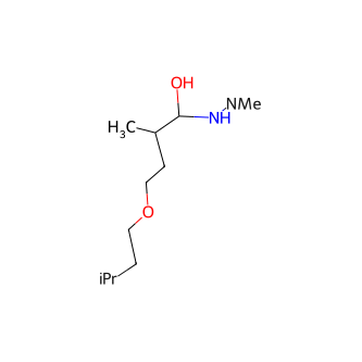 CNNC(O)C(C)CCOCCC(C)C